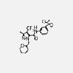 Cc1nn(CC2CCCCO2)c(C(=O)Nc2cccc(S(C)(=O)=O)c2)c1C(F)(F)F